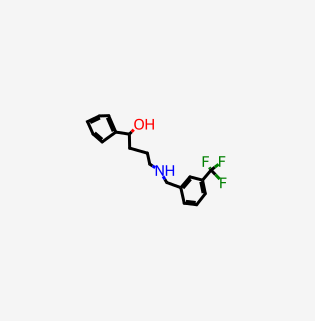 OC(CCCNCc1cccc(C(F)(F)F)c1)c1ccccc1